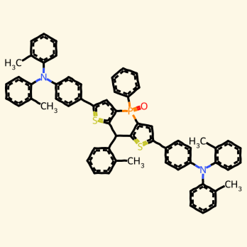 Cc1ccccc1C1c2sc(-c3ccc(N(c4ccccc4C)c4ccccc4C)cc3)cc2P(=O)(c2ccccc2)c2cc(-c3ccc(N(c4ccccc4C)c4ccccc4C)cc3)sc21